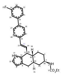 CCOC(=O)N[C@@H]1CC[C@@H]2[C@H](Cc3cc[nH]c3[C@H]2/C=C/c2ccc(-c3cccc(F)c3)cn2)C1